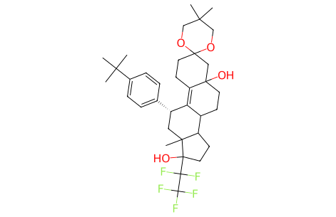 CC1(C)COC2(CCC3=C4C(CCC3(O)C2)C2CCC(O)(C(F)(F)C(F)(F)F)C2(C)C[C@@H]4c2ccc(C(C)(C)C)cc2)OC1